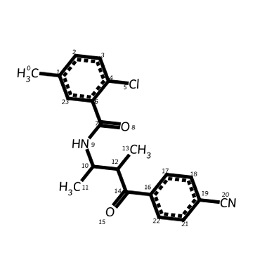 Cc1ccc(Cl)c(C(=O)NC(C)C(C)C(=O)c2ccc(C#N)cc2)c1